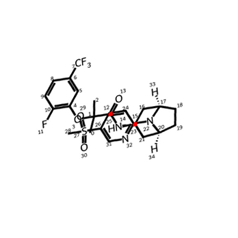 CC(C)(Oc1cc(C(F)(F)F)ccc1F)C(=O)N[C@H]1C[C@H]2CC[C@@H](C1)N2c1ccc(S(C)(=O)=O)cn1